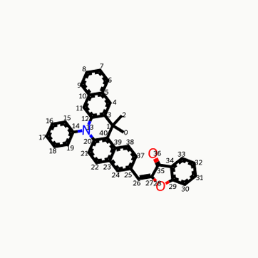 CC1(C)c2cc3ccccc3cc2N(c2ccccc2)c2ccc3cc(/C=C4/Oc5ccccc5C4=O)ccc3c21